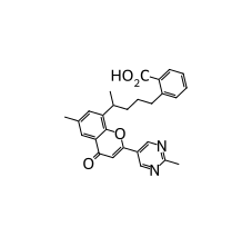 Cc1cc(C(C)CCCc2ccccc2C(=O)O)c2oc(-c3cnc(C)nc3)cc(=O)c2c1